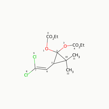 CCOC(=O)OC1(OC(=O)OCC)C(C=C(Cl)Cl)C1(C)C